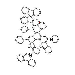 C1=CCN(c2cc3c(-c4ccccc4)c(N(c4ccccc4)c4cccc5c4-c4ccccc4C54c5ccccc5-c5ccccc54)c4cc(-c5ccccc5)c5oc6c(N7C=c8ccccc8=C8C=CC=CC87)cccc6c5c4c3c3oc4ccccc4c23)C=C1